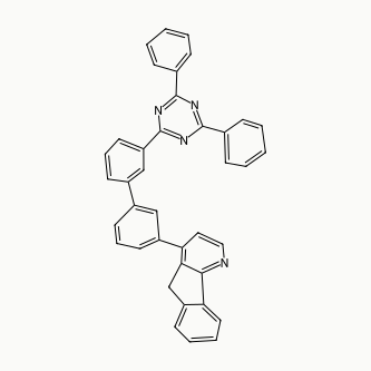 c1ccc(-c2nc(-c3ccccc3)nc(-c3cccc(-c4cccc(-c5ccnc6c5Cc5ccccc5-6)c4)c3)n2)cc1